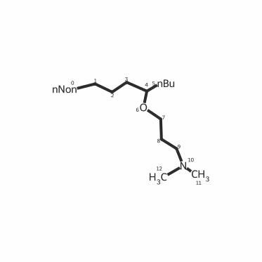 CCCCCCCCCCCCC(CCCC)OCCCN(C)C